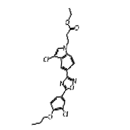 CCCOc1ccc(-c2nc(-c3ccc4c(c3)c(Cl)cn4CCC(=O)OCC)no2)cc1Cl